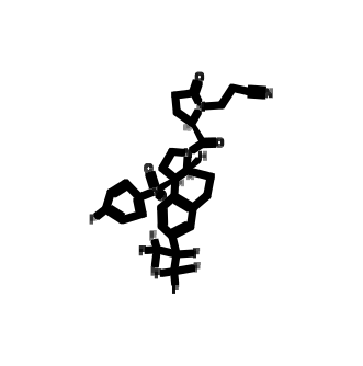 N#CCCN1C(=O)CC[C@@H]1C(=O)N1CC[C@@]2(S(=O)(=O)c3ccc(F)cc3)c3ccc(C(F)(C(F)(F)F)C(F)(F)F)cc3CC[C@@H]12